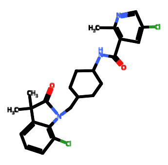 Cc1ncc(Cl)cc1C(=O)NC1CCC(CN2C(=O)C(C)(C)c3cccc(Cl)c32)CC1